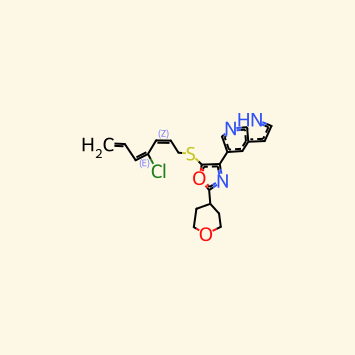 C=C/C=C(Cl)\C=C/CSc1oc(C2CCOCC2)nc1-c1cnc2[nH]ccc2c1